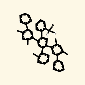 Cc1cc(C)c(-c2cc(-c3ccccc3C(F)(F)F)c(-c3cc(-c4ccccc4)c(C)cc3C)cc2-c2ccccc2C)cc1-c1ccccc1